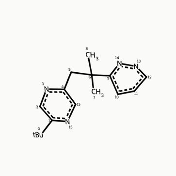 CC(C)(C)c1cnc(CC(C)(C)c2cccnn2)cn1